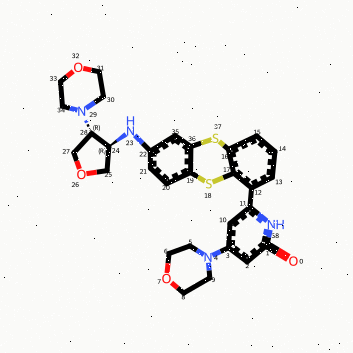 O=c1cc(N2CCOCC2)cc(-c2cccc3c2Sc2ccc(N[C@H]4COC[C@@H]4N4CCOCC4)cc2S3)[nH]1